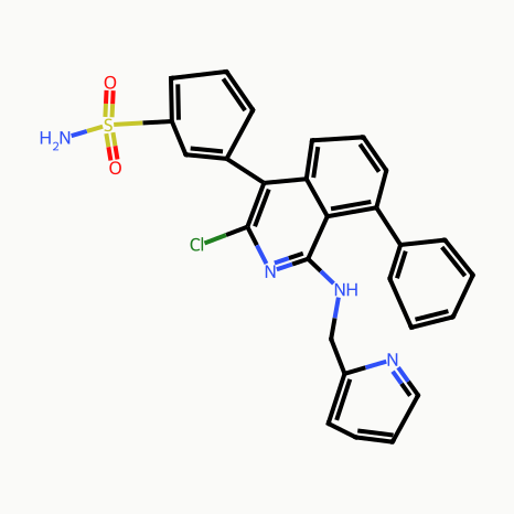 NS(=O)(=O)c1cccc(-c2c(Cl)nc(NCc3ccccn3)c3c(-c4ccccc4)cccc23)c1